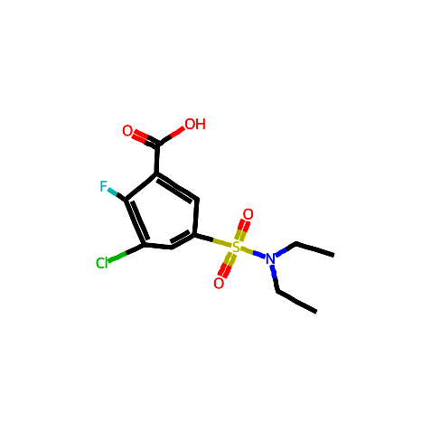 CCN(CC)S(=O)(=O)c1cc(Cl)c(F)c(C(=O)O)c1